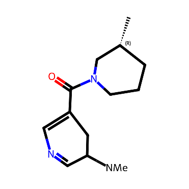 CNC1C=NC=C(C(=O)N2CCC[C@@H](C)C2)C1